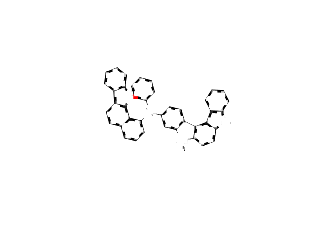 C[Si]1(C)c2cc(N(c3ccccc3)c3cccc4ccc5c6ccccc6sc5c34)ccc2-c2c1ccc1oc3ccccc3c21